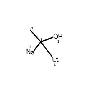 CC[C](C)(O)[Na]